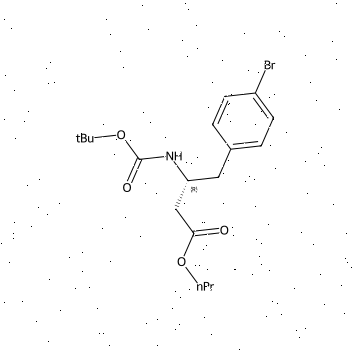 CCCOC(=O)C[C@@H](Cc1ccc(Br)cc1)NC(=O)OC(C)(C)C